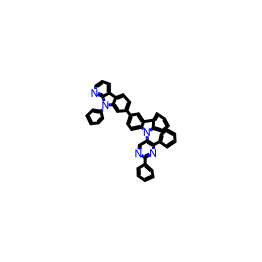 c1ccc(-c2ncc(-n3c4ccccc4c4cc(-c5ccc6c7cccnc7n(-c7ccccc7)c6c5)ccc43)c(-c3ccccc3)n2)cc1